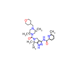 Cc1cccc(C(=O)Nc2n[nH]c3c2CN(C(=O)N2C[C@@H](C)N(CC4CCOCC4)C[C@@H]2C)C3(C)C)n1